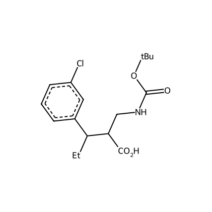 CCC(c1cccc(Cl)c1)C(CNC(=O)OC(C)(C)C)C(=O)O